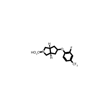 O=C(O)N1C[C@H]2CC(Oc3ccc(C(F)(F)F)cc3F)C[C@H]2C1